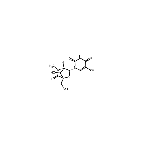 Cc1cn([C@@H]2O[C@]3(CO)C(=O)N(C)[C@H]2C3O)c(=O)[nH]c1=O